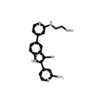 CNCCNc1cc(-c2ccc3[nH]c(-c4ccnc(C)c4)c(C(C)C)c3c2)ccn1